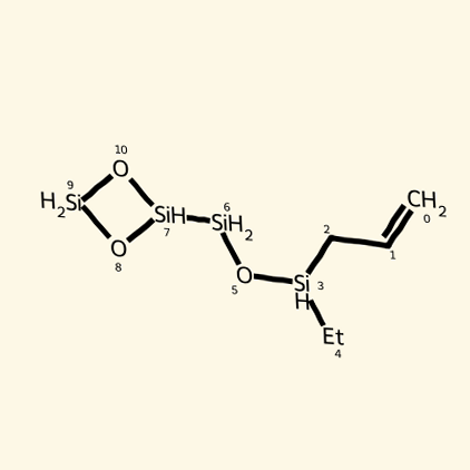 C=CC[SiH](CC)O[SiH2][SiH]1O[SiH2]O1